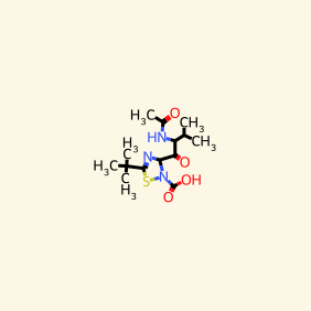 CC(=O)NC(C(=O)C1N=C(C(C)(C)C)SN1C(=O)O)C(C)C